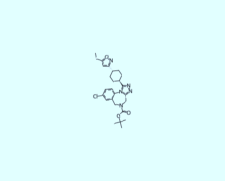 CCc1cc([C@H]2CC[C@H](c3nnc4n3-c3ccc(Cl)cc3CN(C(=O)OC(C)(C)C)C4)CC2)no1